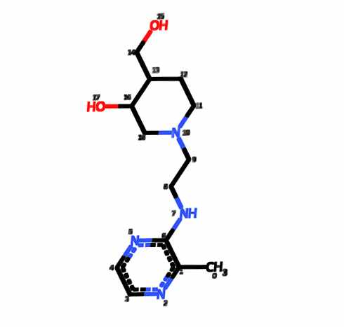 Cc1nccnc1NCCN1CCC(CO)C(O)C1